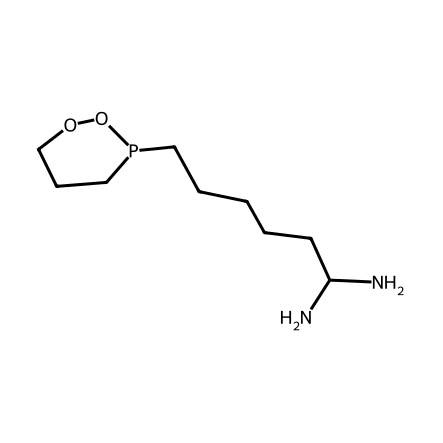 NC(N)CCCCCP1CCCOO1